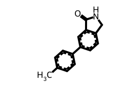 Cc1ccc(-c2ccc3c(c2)C(=O)NC3)cc1